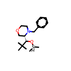 C[SiH](C)OC([C@@H]1COCCN1Cc1ccccc1)C(C)(C)C